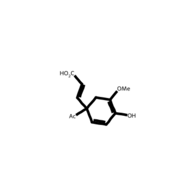 COC1=C(O)C=CC(C=CC(=O)O)(C(C)=O)C1